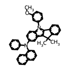 COc1cccc(-n2c3c(c4cc(N(c5ccccc5)c5cccc6ccccc56)ccc42)C(C)(C)c2ccccc2-3)c1